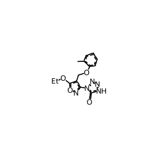 CCOc1onc(-n2nn[nH]c2=O)c1COc1ccccc1C